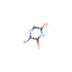 CC(C)c1ncc(O)[nH]c1=O